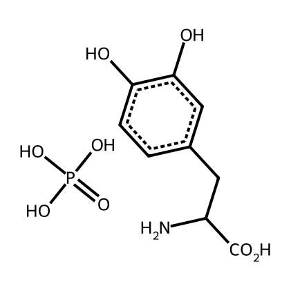 NC(Cc1ccc(O)c(O)c1)C(=O)O.O=P(O)(O)O